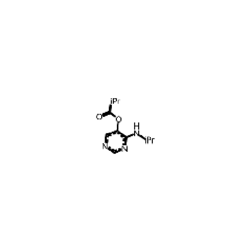 CC(C)Nc1ncncc1OC(=O)C(C)C